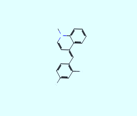 CN1C=C/C(=C\c2ccc([N+](=O)[O-])cc2C(F)(F)F)c2ccccc21